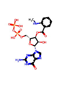 CNc1ccccc1C(=O)O[C@H]1[C@@H](O)[C@H](n2cnc3c(=O)[nH]c(N)nc32)O[C@@H]1COP(=O)(O)OP(=O)(O)O